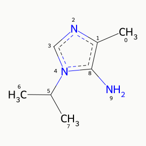 Cc1ncn(C(C)C)c1N